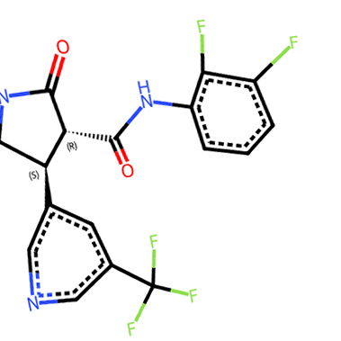 O=C1NC[C@H](c2cncc(C(F)(F)F)c2)[C@H]1C(=O)Nc1cccc(F)c1F